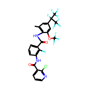 Cc1cc(C(F)(C(F)(F)F)C(F)(F)F)cc(OC(F)(F)F)c1NC(=O)c1cccc(NC(=O)c2cccnc2Cl)c1F